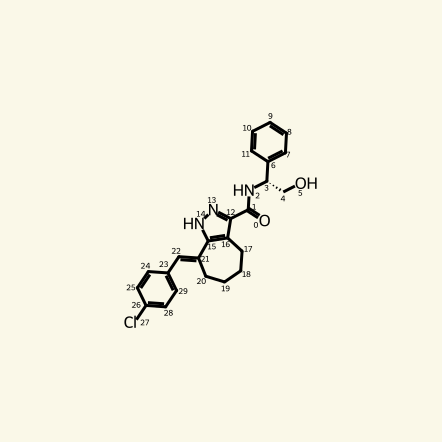 O=C(N[C@@H](CO)c1ccccc1)c1n[nH]c2c1CCCC/C2=C\c1ccc(Cl)cc1